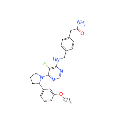 COc1cccc(C2CCCN2c2ncnc(NCc3ccc(CC(N)=O)cc3)c2F)c1